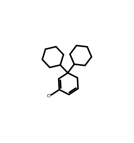 ClC1=CC(C2CCCCC2)(C2CCCCC2)CC=C1